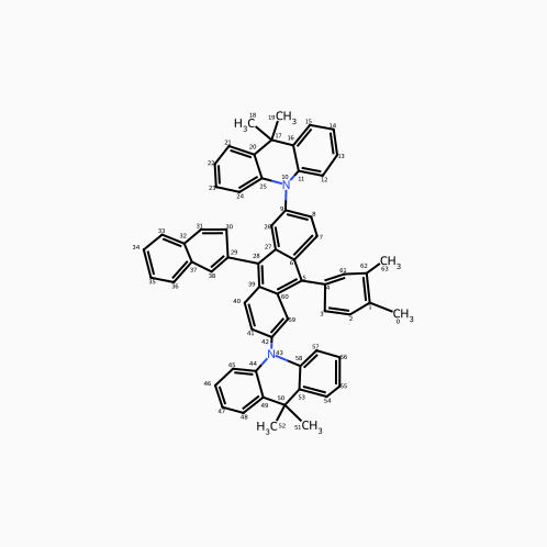 Cc1ccc(-c2c3ccc(N4c5ccccc5C(C)(C)c5ccccc54)cc3c(-c3ccc4ccccc4c3)c3ccc(N4c5ccccc5C(C)(C)c5ccccc54)cc23)cc1C